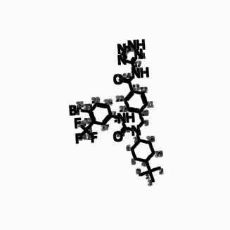 CC(C)(C)C1CCC(N(Cc2ccc(C(=O)Nc3nn[nH]n3)cc2)C(=O)Nc2ccc(Br)c(C(F)(F)F)c2)CC1